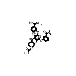 CN(C)C(=O)c1cccc(Oc2nc(Oc3cc(C(=N)N)ccc3O)c(F)c(NC3CCN(CC(=O)O)CC3)c2F)c1